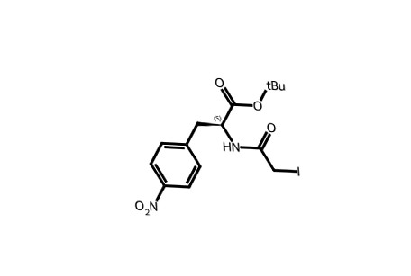 CC(C)(C)OC(=O)[C@H](Cc1ccc([N+](=O)[O-])cc1)NC(=O)CI